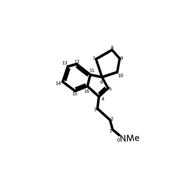 CNCCCC1=CC2(CCCC2)c2ccccc21